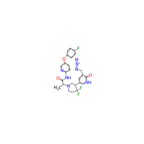 CC(C(=O)Nc1ccc(Oc2ccc(F)cc2)cn1)N1CCC(F)(F)C(c2c[nH]c(=O)c(CN=[N+]=[N-])c2)C1